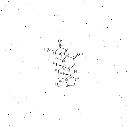 CC1C[C@@]2(C)C(=CC1=O)C(=O)C[C@H]1[C@@H]3CCC[C@@]3(C)CC[C@@H]12